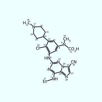 CCNc1nc(Nc2cc(N(C)C(=O)O)cc(C3CCN(C)CC3)c2Cl)nn2c(C#N)cnc12